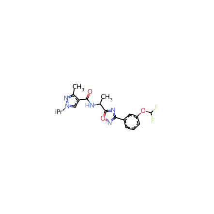 Cc1nn(C(C)C)cc1C(=O)N[C@@H](C)c1nc(-c2cccc(OC(F)F)c2)no1